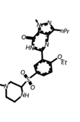 CCCc1nn(C)c2c(=O)[nH]c(-c3cc(S(=O)(=O)C4CN(C)CCN4)ccc3OCC)nc12